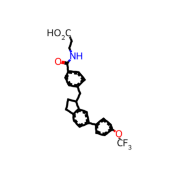 O=C(O)CCNC(=O)c1ccc(CC2CCc3ccc(-c4ccc(OC(F)(F)F)cc4)cc32)cc1